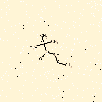 CCN[S@@+]([O-])C(C)(C)C